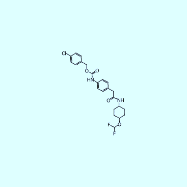 O=C(Cc1ccc(NC(=O)OCc2ccc(Cl)cc2)cc1)NC1CCC(OC(F)F)CC1